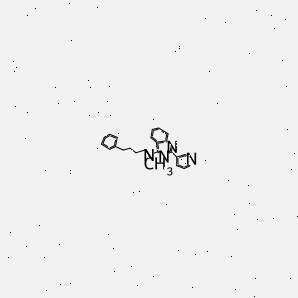 CN(CCCCc1ccccc1)c1nc(-c2cccnc2)nc2ccccc12